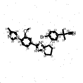 COc1cc(-c2nc3n(n2)CCC[C@H]3c2cc(C(C)(C)C#N)ccc2Br)ccc1-n1cnc(C)c1